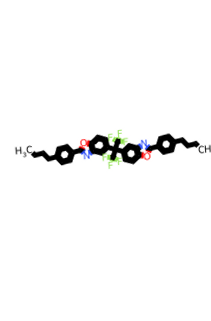 CCCCc1ccc(-c2nc3cc(C(c4ccc5oc(-c6ccc(CCCC)cc6)nc5c4)(C(F)(F)F)C(F)(F)F)ccc3o2)cc1